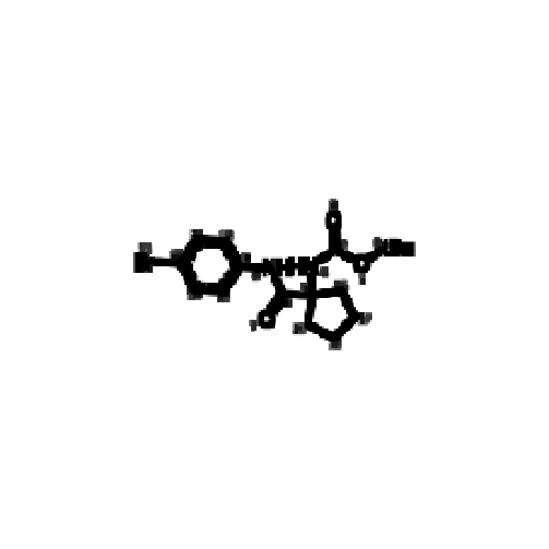 CC(C)(C)OC(=O)NC1(C(=O)Nc2ccc(Br)cc2)CCCC1